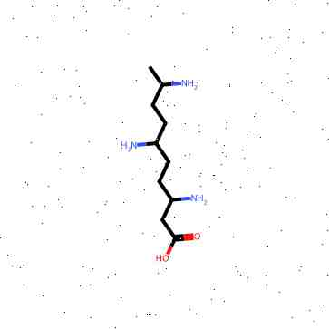 CC(N)CCC(N)CCC(N)CC(=O)O